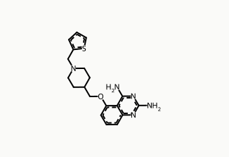 Nc1nc(N)c2c(OCC3CCN(Cc4cccs4)CC3)cccc2n1